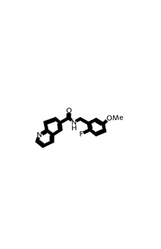 COc1ccc(F)c(CNC(=O)c2ccc3ncccc3c2)c1